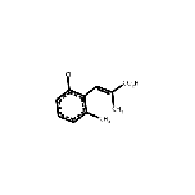 CC(=Cc1c(C)cccc1Cl)C(=O)O